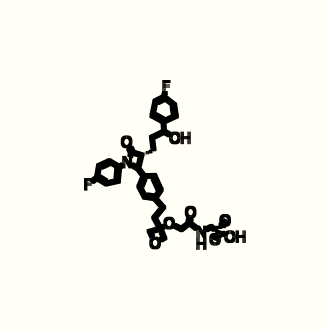 O=C(COC1(CCc2ccc(C3[C@@H](CCC(O)c4ccc(F)cc4)C(=O)N3c3ccc(F)cc3)cc2)COC1)NCS(=O)(=O)O